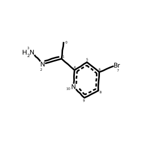 CC(=NN)c1cc(Br)ccn1